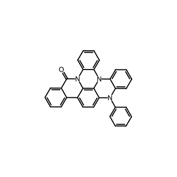 O=c1c2ccccc2c2ccc3c4c2n1-c1ccccc1N4c1ccccc1N3c1ccccc1